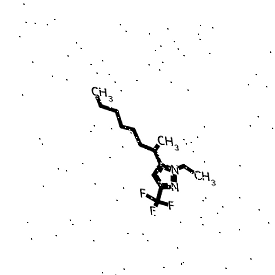 CCCCCCC(C)c1cc(C(F)(F)F)nn1CC